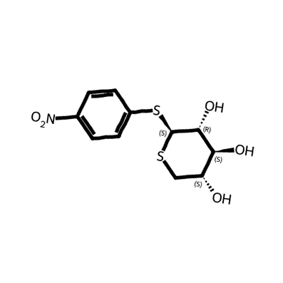 O=[N+]([O-])c1ccc(S[C@@H]2SC[C@@H](O)[C@H](O)[C@H]2O)cc1